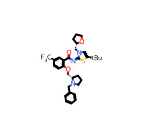 CC(C)(C)c1cn(C[C@@H]2CCCO2)c(=NC(=O)c2cc(C(F)(F)F)ccc2OC[C@@H]2CCCN2Cc2ccccc2)s1